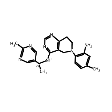 Cc1ccc(N2CCc3ncnc(N[C@@H](C)c4cnc(C)nc4)c3C2)c(N)c1